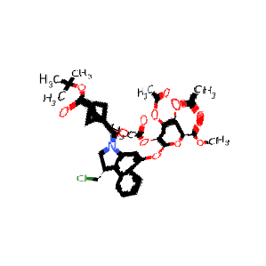 COC(=O)[C@H]1O[C@@H](Oc2cc3c(c4ccccc24)[C@H](CCl)CN3C(=O)C23CC(C(=O)OC(C)(C)C)(C2)C3)[C@H](OC(C)=O)[C@@H](OC(C)=O)[C@@H]1OC(C)=O